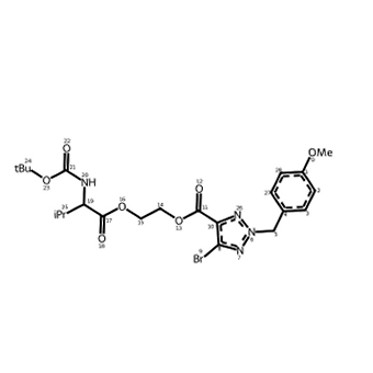 COc1ccc(Cn2nc(Br)c(C(=O)OCCOC(=O)C(NC(=O)OC(C)(C)C)C(C)C)n2)cc1